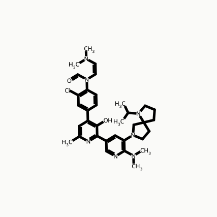 Cc1cc(-c2ccc(N(C=O)/C=C\N(C)C)c(Cl)c2)c(O)c(-c2cnc(N(C)C)c(N3CCC4(CCCN4C(C)C)C3)c2)n1